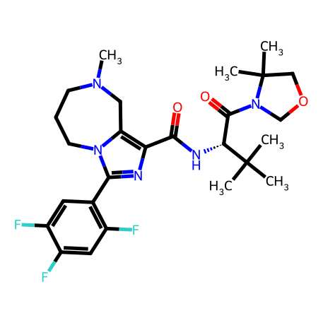 CN1CCCn2c(-c3cc(F)c(F)cc3F)nc(C(=O)N[C@H](C(=O)N3COCC3(C)C)C(C)(C)C)c2C1